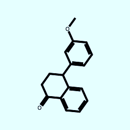 COc1cccc(C2CCC(=O)c3ccccc32)c1